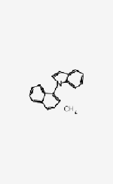 C.c1ccc2c(-n3ccc4ccccc43)cccc2c1